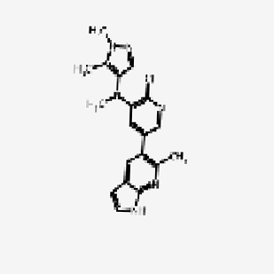 Cc1nc2[nH]ccc2cc1-c1cnc(Cl)c(N(C)c2cnn(C)c2C)c1